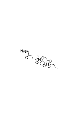 CCCC(=O)O[C@@H]1CO[C@H]2[C@@H]1OC[C@H]2OC(=O)CCC(=O)N=[N+]=[N-]